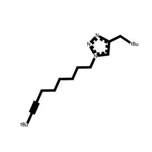 CC(C)(C)C#CCCCCCCn1cc(CC(C)(C)C)nn1